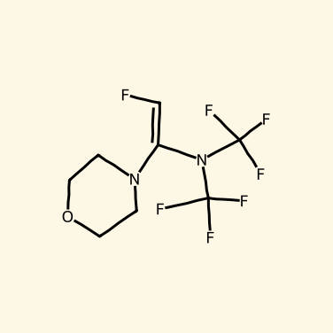 F/C=C(\N1CCOCC1)N(C(F)(F)F)C(F)(F)F